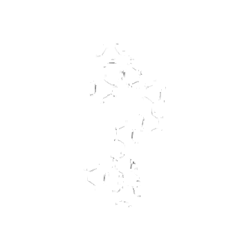 c1ccc(-c2nc(-c3cccc(-c4cccc(-c5cccc(-c6nc(-c7ccccc7)c7c(n6)sc6ccccc67)c5)c4)c3)nc3sc4ccccc4c23)cc1